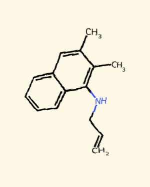 C=CCNc1c(C)c(C)cc2ccccc12